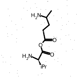 CC(N)CCC(=O)OC(=O)[C@H](N)C(C)C